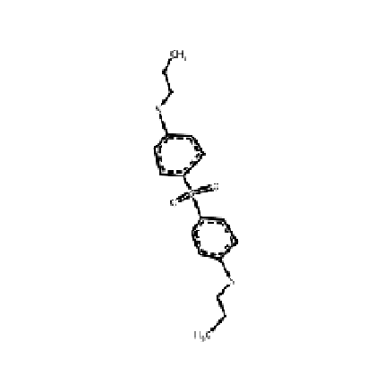 CCCSc1ccc(S(=O)(=O)c2ccc(SCCC)cc2)cc1